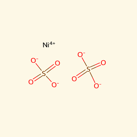 O=S(=O)([O-])[O-].O=S(=O)([O-])[O-].[Ni+4]